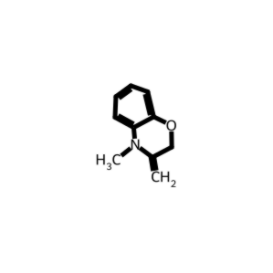 C=C1COc2ccccc2N1C